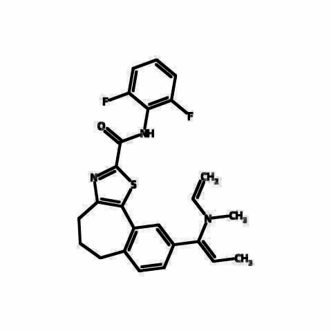 C=CN(C)/C(=C\C)c1ccc2c(c1)-c1sc(C(=O)Nc3c(F)cccc3F)nc1CCC2